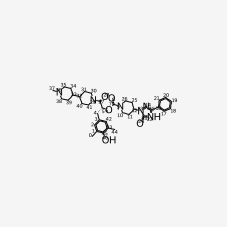 Cc1cc(C[C@@H](OC(=O)N2CCC(n3nc(-c4ccccc4)[nH]c3=O)CC2)C(=O)N2CCC(C3CCN(C)CC3)CC2)cc(C)c1O